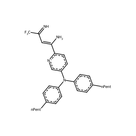 CCCCCc1ccc(N(c2ccc(CCCCC)cc2)c2ccc(/C(N)=C/C(=N)C(F)(F)F)nc2)cc1